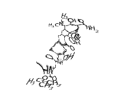 CN(C)C1C(O)=C(C(N)=O)C(=O)C2(O)C(O)=C3C(=O)c4c(ccc(NC(=O)CNC(=O)OC(C)(C)C)c4O)CC3CC12